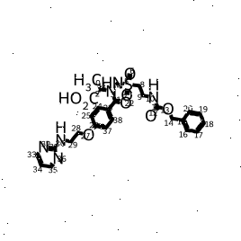 C[C@H](C(=O)O)N(NS(=O)(=O)CCNC(=O)OCc1ccccc1)C(=O)c1ccc(OCCNc2ncccn2)cc1